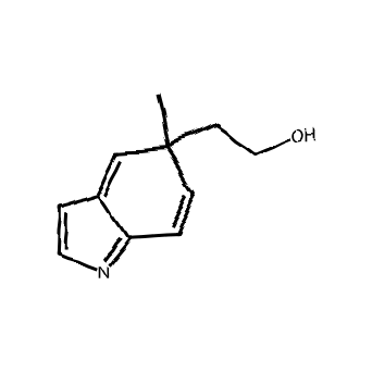 CC1(CCO)C=CC2=NC=CC2=C1